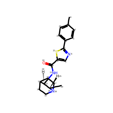 Cc1ccc(-c2ncc(C(=O)N[C@@H]3C4CCN(CC4)[C@H]3C)s2)cc1